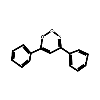 C1=C(c2ccccc2)OON=C1c1ccccc1